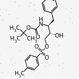 Cc1ccc(S(=O)(=O)OC[C@@H](O)[C@H](Cc2ccccc2)NC(=O)OC(C)(C)C)cc1